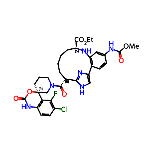 CCOC(=O)[C@@H]1CCCC[C@@H](C(=O)N2CCC[C@@]3(C2)OC(=O)Nc2ccc(Cl)c(F)c23)c2nc(c[nH]2)-c2ccc(NC(=O)OC)cc2N1